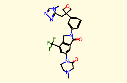 CN1CCN(c2cc3c(c(C(F)(F)F)c2)CN(c2cccc(C4(Cc5nncn5C)COC4)c2)C3=O)C(=O)C1